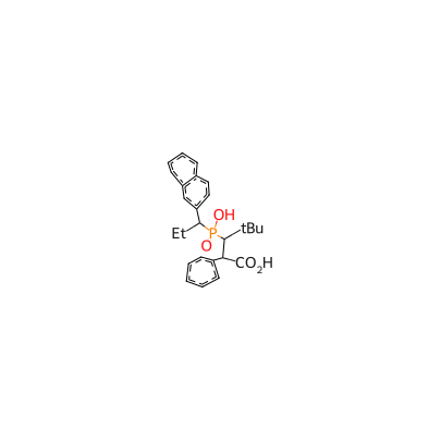 CCC(c1ccc2ccccc2c1)P(=O)(O)C(C(C(=O)O)c1ccccc1)C(C)(C)C